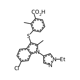 CCn1cc(-n2c(C)c(Sc3cccc(C(=O)O)c3C)c3ccc(Cl)cc32)cn1